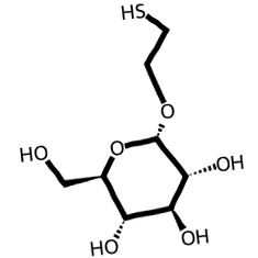 OC[C@H]1O[C@H](OCCS)[C@H](O)[C@@H](O)[C@@H]1O